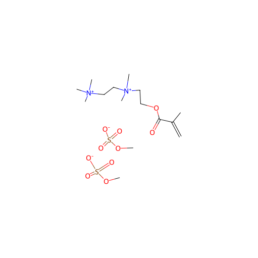 C=C(C)C(=O)OCC[N+](C)(C)CC[N+](C)(C)C.COS(=O)(=O)[O-].COS(=O)(=O)[O-]